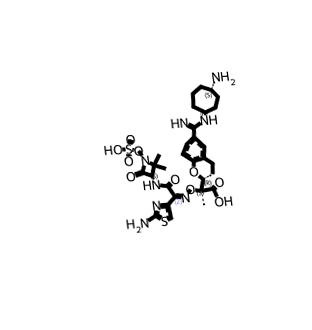 CC1(C)[C@H](NC(=O)/C(=N\O[C@](C)(C(=O)O)[C@H]2CCc3cc(C(=N)N[C@@H]4CCC[C@H](N)CC4)ccc3O2)c2csc(N)n2)C(=O)N1OS(=O)(=O)O